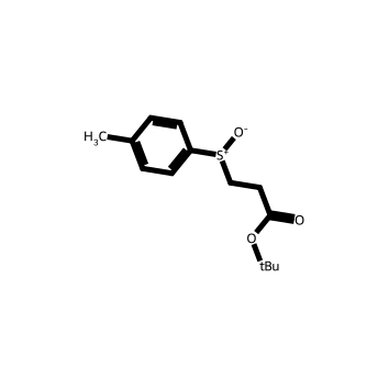 Cc1ccc([S+]([O-])CCC(=O)OC(C)(C)C)cc1